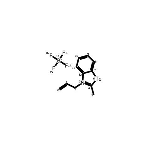 C=CC[n+]1c(C)[te]c2ccccc21.F[B-](F)(F)F